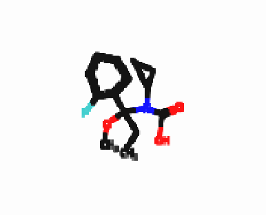 CCC(OC)(c1ccccc1F)N(C(=O)O)C1CC1